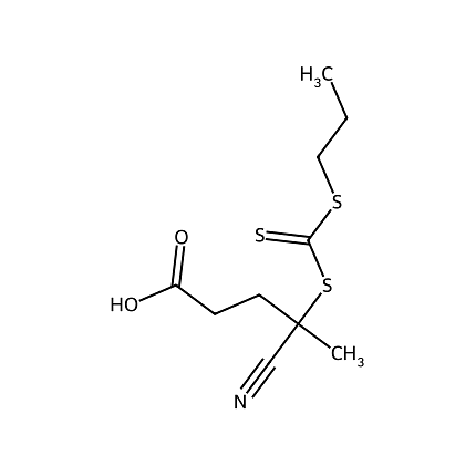 CCCSC(=S)SC(C)(C#N)CCC(=O)O